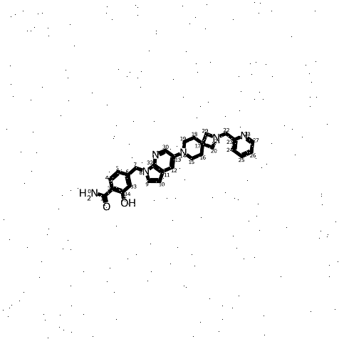 NC(=O)c1ccc(Cn2ccc3cc(N4CCC5(CC4)CN(Cc4ccccn4)C5)cnc32)cc1O